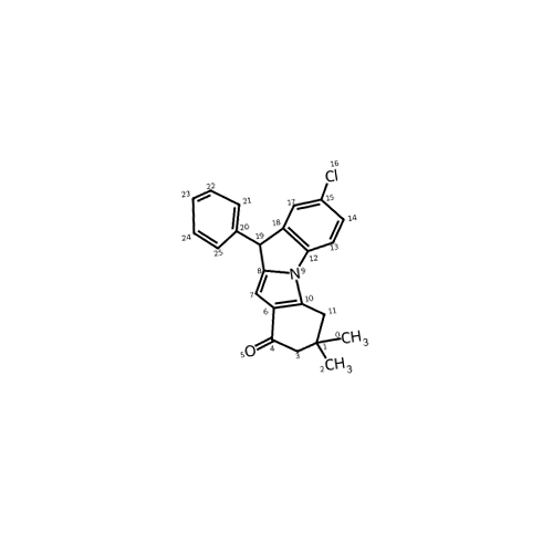 CC1(C)CC(=O)c2cc3n(c2C1)-c1ccc(Cl)cc1C3c1ccccc1